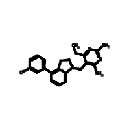 CCc1nc(N)nc(N)c1CN1CCc2c(-c3cccc(Cl)c3)cccc21